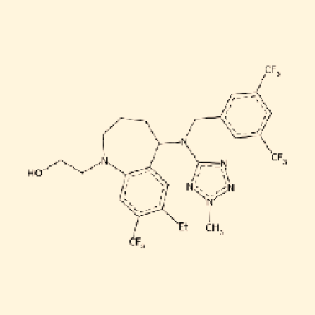 CCc1cc2c(cc1C(F)(F)F)N(CCO)CCCC2N(Cc1cc(C(F)(F)F)cc(C(F)(F)F)c1)c1nnn(C)n1